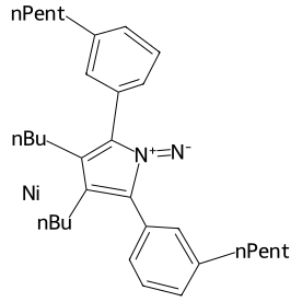 CCCCCc1cccc(C2=C(CCCC)C(CCCC)=C(c3cccc(CCCCC)c3)[N+]2=[N-])c1.[Ni]